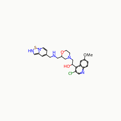 COc1ccc2ncc(Cl)c(C(O)CN3CCOC(CNCC4=CC5=CNSN5C=C4)C3)c2c1